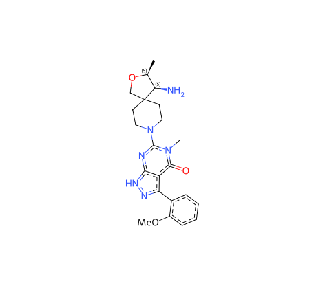 COc1ccccc1-c1n[nH]c2nc(N3CCC4(CC3)CO[C@@H](C)[C@H]4N)n(C)c(=O)c12